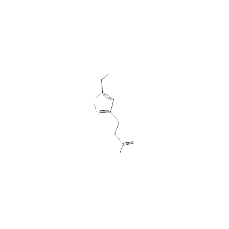 O=C(O)CCc1cc(CO)on1